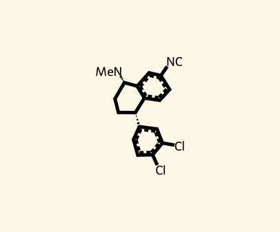 [C-]#[N+]c1ccc2c(c1)[C@@H](NC)CC[C@H]2c1ccc(Cl)c(Cl)c1